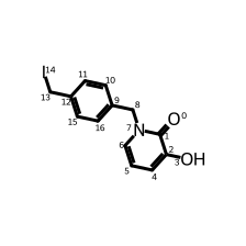 O=c1c(O)cccn1Cc1ccc(CI)cc1